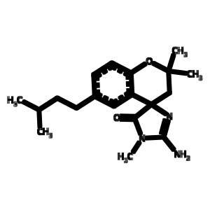 CC(C)CCc1ccc2c(c1)C1(CC(C)(C)O2)N=C(N)N(C)C1=O